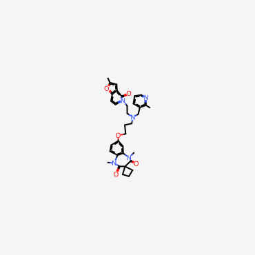 Cc1cc2c(=O)n(CCN(CCCOc3ccc4c(c3)N(C)C(=O)C3(CCC3)C(=O)N4C)Cc3cccnc3C)ccc2o1